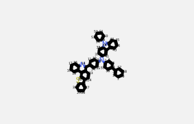 c1ccc(-c2ccc(N(c3ccc(-c4nc5ccccc5c5c4ccc4c6ccccc6sc45)cc3)c3ccc4c(c3)c3ccccc3n4-c3ccccc3)cc2)cc1